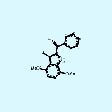 COc1ccc(OC)c2c(C)c(C(=O)c3ccccc3)[nH]c12